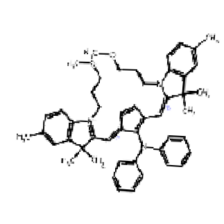 COCCCN1/C(=C\C2=C(N(c3ccccc3)c3ccccc3)C(=C/C3=[N+](CCCOC)c4ccc(C)cc4C3(C)C)/C=C2)C(C)(C)c2cc(C)ccc21